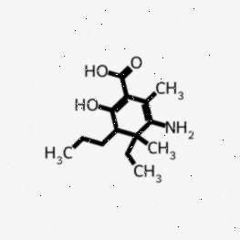 CCCC1C(O)=C(C(=O)O)C(C)=C(N)C1(C)CC